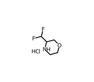 Cl.FC(F)C1COCCN1